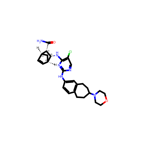 NC(=O)[C@@H]1[C@H](Nc2nc(Nc3ccc4c(c3)CCC(N3CCOCC3)CC4)ncc2Cl)[C@H]2C=C[C@@H]1C2